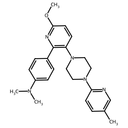 COc1ccc(N2CCN(c3ccc(C)cn3)CC2)c(-c2ccc(N(C)C)cc2)n1